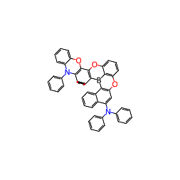 c1ccc(N(c2ccccc2)c2cc3c(c4ccccc24)B2c4c(cccc4Oc4c5c(c6ccccc6c42)N(c2ccccc2)c2ccccc2O5)O3)cc1